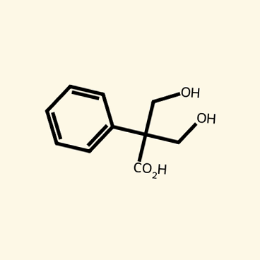 O=C(O)C(CO)(CO)c1ccccc1